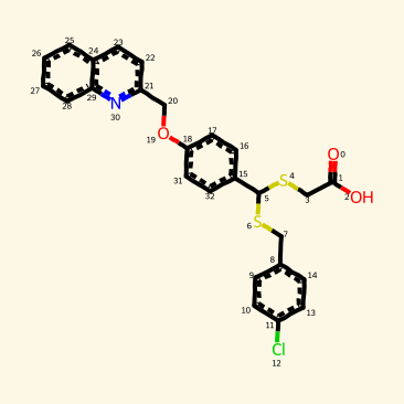 O=C(O)CSC(SCc1ccc(Cl)cc1)c1ccc(OCc2ccc3ccccc3n2)cc1